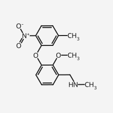 CNCc1cccc(Oc2cc(C)ccc2[N+](=O)[O-])c1OC